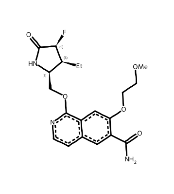 CC[C@@H]1[C@H](F)C(=O)N[C@@H]1COc1nccc2cc(C(N)=O)c(OCCOC)cc12